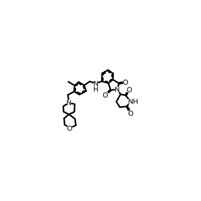 Cc1cc(CNc2cccc3c2C(=O)N(C2CCC(=O)NC2=O)C3=O)ccc1CN1CCC2(CCOCC2)CC1